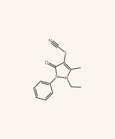 CCn1c(C)c(SC#N)c(=O)n1-c1ccccc1